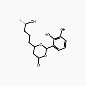 CCC1CC(CCC[C@H](C)O)OC(c2cccc(O)c2O)O1